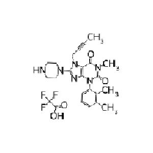 CC#CCn1c(N2CCNCC2)nc2c1c(=O)n(C)c(=O)n2-c1cccc(C)c1C.O=C(O)C(F)(F)F